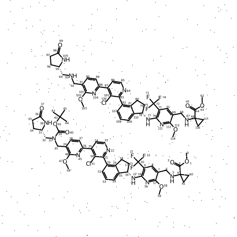 COC(=O)C1(NCc2cc(C(F)(F)F)c(N[C@H]3CCc4c(-c5nccc(-c6ccc(CN(C[C@@H]7CCC(=O)N7)C(=O)OC(C)(C)C)c(OC)n6)c5Cl)cccc43)nc2OC)CC1.COC(=O)C1(NCc2cc(C(F)(F)F)c(N[C@H]3CCc4c(-c5nccc(-c6ccc(CNC[C@@H]7CCC(=O)N7)c(OC)n6)c5Cl)cccc43)nc2OC)CC1